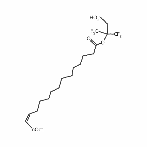 CCCCCCCC/C=C\CCCCCCCCCCCC(=O)OC(CS(=O)(=O)O)(C(F)(F)F)C(F)(F)F